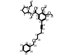 CCN1CCCC1N(C)C(=O)c1cc(C#CCCCOCc2ccccc2)cc(OC)c1OC